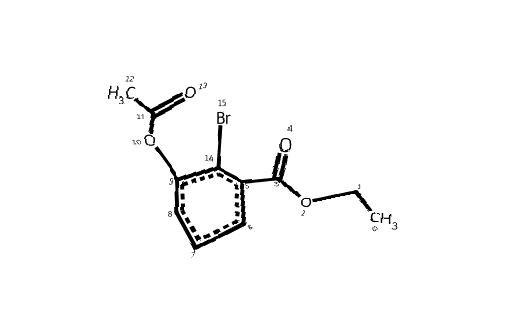 CCOC(=O)c1cccc(OC(C)=O)c1Br